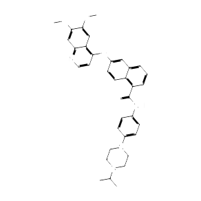 COc1cc2nccc(Oc3ccc4c(C(=O)Nc5ccc(N6CCN(C(C)C)CC6)cc5)cccc4c3)c2cc1OC